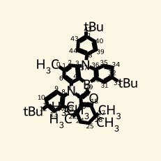 Cc1cc2c3c(c1)N(c1ccc(C(C)(C)C)cc1C)c1c(oc4c1C(C)(C)CCC4(C)C)B3c1cc(C(C)(C)C)ccc1N2c1ccc(C(C)(C)C)cc1